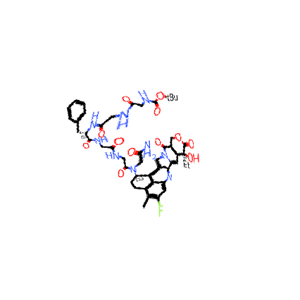 CC[C@@]1(O)C(=O)OCc2c1cc1n(c2=O)Cc2c-1nc1cc(F)c(C)c3c1c2[C@@H](N(CC(N)=O)C(=O)CNC(=O)CNC(=O)[C@H](Cc1ccccc1)NC(=O)CNC(=O)CNC(=O)OC(C)(C)C)CC3